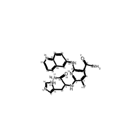 NC(=O)c1cc(F)c(NC(Cc2cnc[nH]2)C(N)=O)nc1Nc1ccc2ncccc2c1